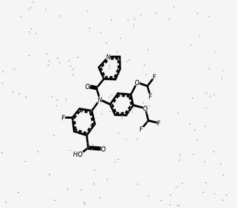 O=C(O)c1cc(F)cc(N(C(=O)c2cccnc2)c2ccc(OC(F)F)c(OC(F)F)c2)c1